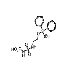 CC(C)(C)[Si](OCCNS(=O)(=O)NC(=O)O)(c1ccccc1)c1ccccc1